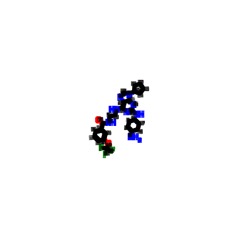 N[C@H]1CC[C@H](Nc2nc(NCCNC(=O)c3cccc(OC(F)(F)F)c3)c3ncn(C4CCCC4)c3n2)CC1